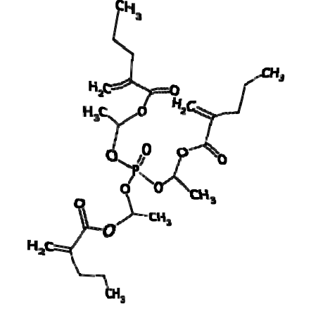 C=C(CCC)C(=O)OC(C)OP(=O)(OC(C)OC(=O)C(=C)CCC)OC(C)OC(=O)C(=C)CCC